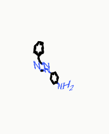 Nc1ccc(-n2cnc(-c3ccccc3)n2)cc1